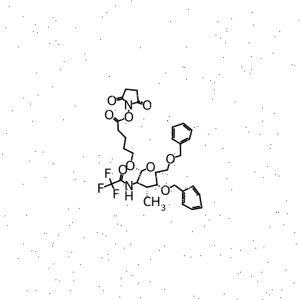 C[C@@H]1C(NC(=O)C(F)(F)F)[C@H](OCCCCC(=O)ON2C(=O)CCC2=O)OC(COCc2ccccc2)[C@@H]1OCc1ccccc1